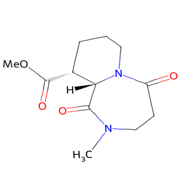 COC(=O)[C@@H]1CCCN2C(=O)CCN(C)C(=O)[C@H]12